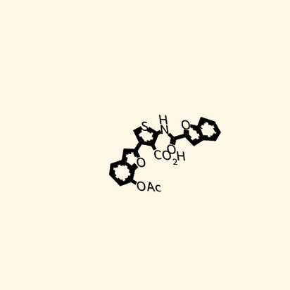 CC(=O)Oc1cccc2cc(-c3csc(NC(=O)c4cc5ccccc5o4)c3C(=O)O)oc12